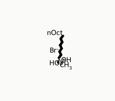 CCCCCCCCCCCCCCCC[N+](C)(O)O.[Br-]